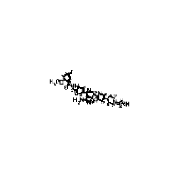 COc1ccc(F)cc1C(=O)NCc1ccc(-c2ncc(-c3ccc(C4CCN(C5CNC5)CC4)cn3)c3[nH]nc(N)c23)cc1